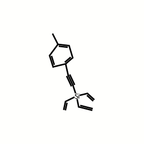 C=C[Si](C#Cc1ccc(C)cc1)(C=C)C=C